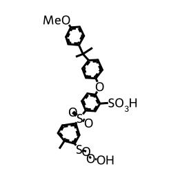 COc1ccc(C(C)(C)c2ccc(Oc3ccc(S(=O)(=O)c4ccc(C)c(SOOO)c4)cc3S(=O)(=O)O)cc2)cc1